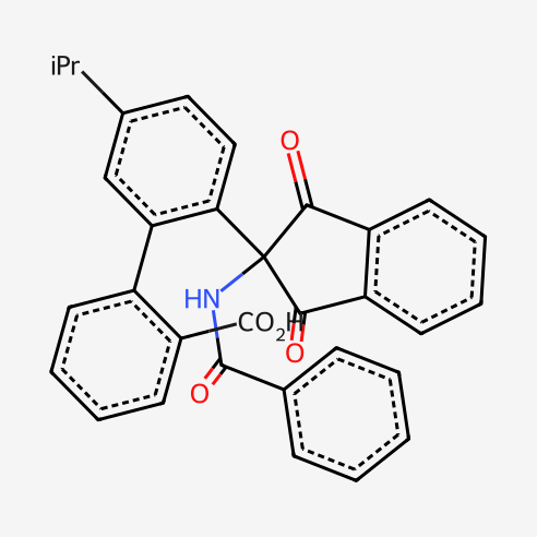 CC(C)c1ccc(C2(NC(=O)c3ccccc3)C(=O)c3ccccc3C2=O)c(-c2ccccc2C(=O)O)c1